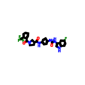 O=C(Nc1ccc(NC(=O)C2CCN(C(=O)c3ccccc3C(F)(F)F)C2)cc1)Nc1c[nH]c2ccc(F)cc12